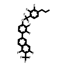 CCCc1ccc(C(F)(F)Oc2ccc(-c3ccc4c(F)c(C(F)(F)F)c(F)cc4c3)c(F)c2F)c(F)c1F